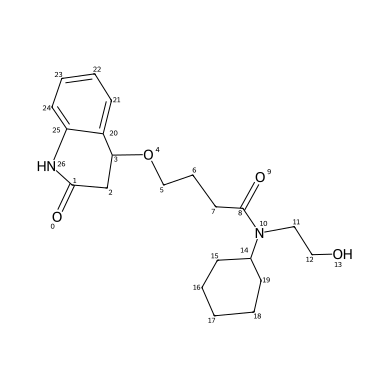 O=C1CC(OCCCC(=O)N(CCO)C2CCCCC2)c2ccccc2N1